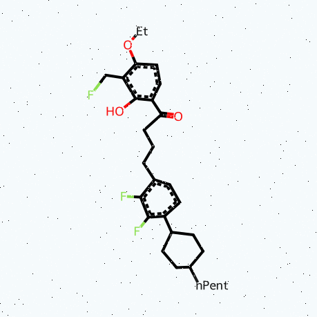 CCCCCC1CCC(c2ccc(CCCC(=O)c3ccc(OCC)c(CF)c3O)c(F)c2F)CC1